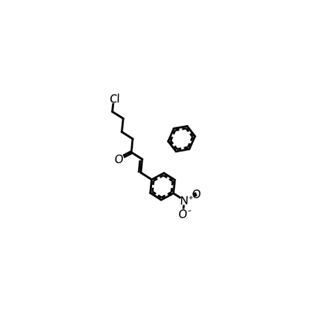 O=C(C=Cc1ccc([N+](=O)[O-])cc1)CCCCCl.c1ccccc1